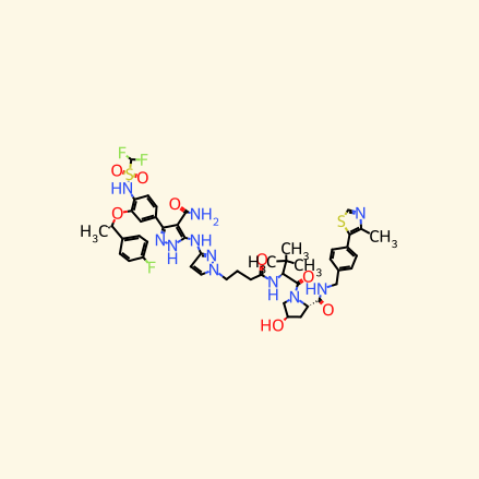 Cc1ncsc1-c1ccc(CNC(=O)[C@@H]2C[C@@H](O)CN2C(=O)[C@@H](NC(=O)CCCn2ccc(Nc3[nH]nc(-c4ccc(NS(=O)(=O)C(F)F)c(O[C@@H](C)c5ccc(F)cc5)c4)c3C(N)=O)n2)C(C)(C)C)cc1